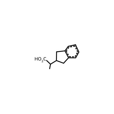 CC(C(=O)O)C1Cc2ccccc2C1